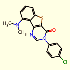 CN(C)c1cccc2sc3c(=O)n(-c4ccc(Cl)cc4)cnc3c12